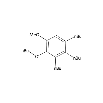 CCCCOc1c(OC)cc(CCCC)c(CCCC)c1CCCC